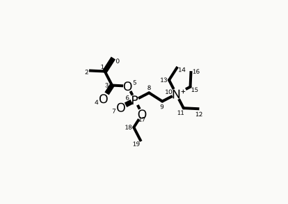 C=C(C)C(=O)OP(=O)(CC[N+](CC)(CC)CC)OCC